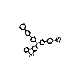 CC1Oc2ccc(N(c3ccc(-c4ccc(-c5ccccc5)cc4)cc3)c3ccc(-c4ccc(C5CC6CCC5C6)cc4)cc3)cc2-c2ccccc21